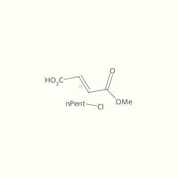 CCCCCCl.COC(=O)/C=C/C(=O)O